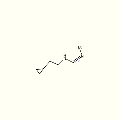 CC/N=C\NCCC1CC1